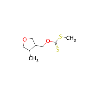 CSC(=S)OCC1COCC1C